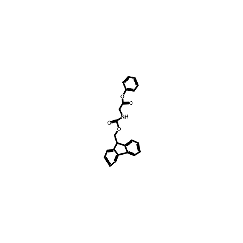 O=C(CNC(=O)OCC1c2ccccc2-c2ccccc21)Oc1ccccc1